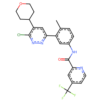 Cc1ccc(NC(=O)c2cc(C(F)(F)F)ccn2)cc1-c1cc(C2CCOCC2)c(Cl)nn1